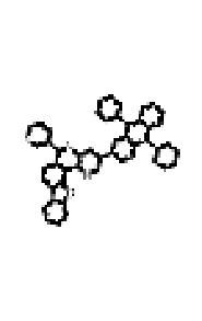 c1ccc(-c2c3ccccc3c(-c3ccccc3)c3cc(-c4cnc5c(c4)nc(-c4cccnc4)c4ccc6c7ccccc7oc6c45)ccc23)cc1